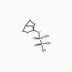 O=P(O)(O)P(=O)(O)OC12CCC(CC1)C2